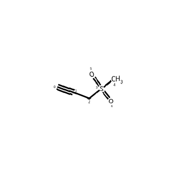 [C]#CCS(C)(=O)=O